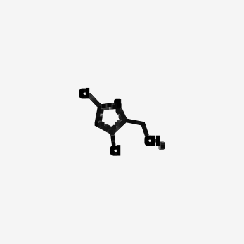 CCc1sc(Cl)cc1Cl